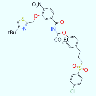 CCOC(=O)C(NC(=O)c1ccc([N+](=O)[O-])c(OCc2nc(C(C)(C)C)cs2)c1)Oc1ccc(CCCS(=O)(=O)c2ccc(Cl)cc2)cc1